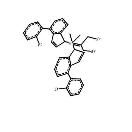 CCc1ccccc1-c1cccc2c1C=C[CH]2[Hf]([CH3])([CH3])(=[C](CC(C)C)CC(C)C)[CH]1C=Cc2c(-c3ccccc3CC)cccc21